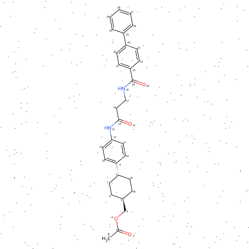 CC(=O)OC[C@H]1CC[C@H](c2ccc(NC(=O)CCNC(=O)c3ccc(-c4ccccc4)cc3)cc2)CC1